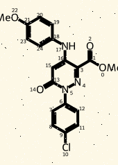 COC(=O)c1nn(-c2ccc(Cl)cc2)c(=O)cc1Nc1ccc(OC)cc1